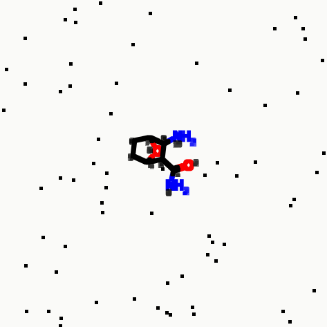 NC(=O)C1C2CCC(O2)C1N